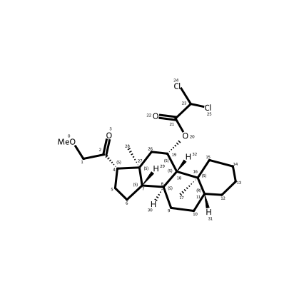 COCC(=O)[C@H]1CC[C@H]2[C@@H]3CC[C@H]4CCCC[C@]4(C)[C@H]3[C@@H](OC(=O)C(Cl)Cl)C[C@]12C